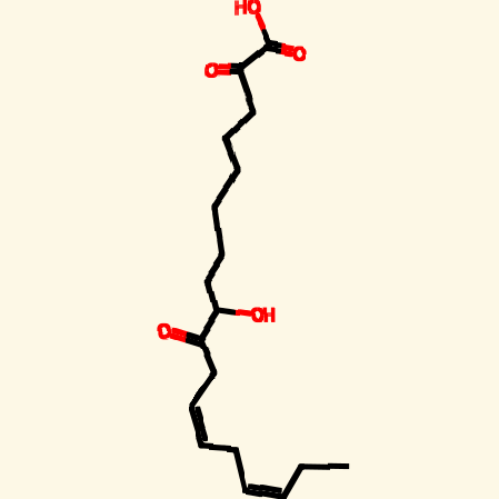 CC/C=C\C/C=C\CC(=O)C(O)CCCCCCC(=O)C(=O)O